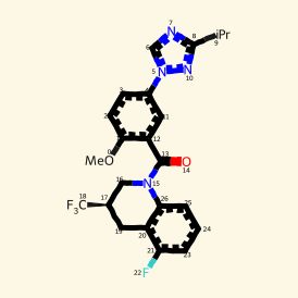 COc1ccc(-n2cnc(C(C)C)n2)cc1C(=O)N1C[C@H](C(F)(F)F)Cc2c(F)cccc21